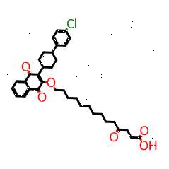 O=C(O)CCC(=O)CCCCCCCCCCOC1=C(C2CCC(c3ccc(Cl)cc3)CC2)C(=O)c2ccccc2C1=O